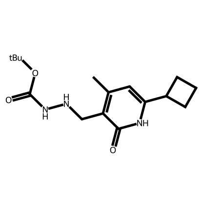 Cc1cc(C2CCC2)[nH]c(=O)c1CNNC(=O)OC(C)(C)C